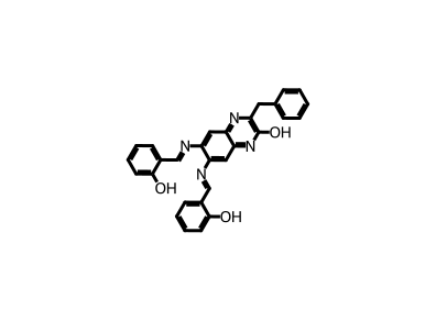 Oc1ccccc1/C=N/c1cc2nc(O)c(Cc3ccccc3)nc2cc1/N=C/c1ccccc1O